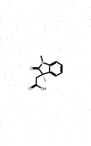 CN1C(=O)[C@](C)(CC(=O)O)c2ccccc21